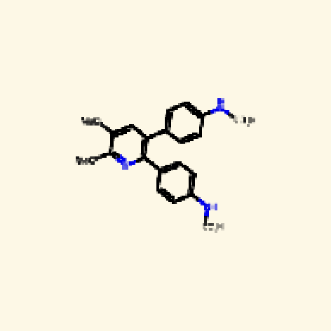 COc1cc(-c2ccc(NC(=O)O)cc2)c(-c2ccc(NC(=O)O)cc2)nc1OC